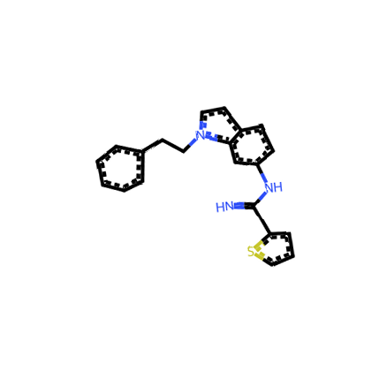 N=C(Nc1ccc2ccn(CCc3ccccc3)c2c1)c1cccs1